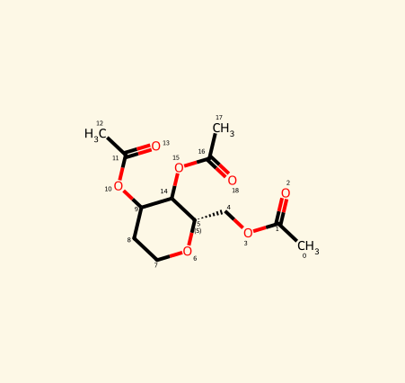 CC(=O)OC[C@@H]1OCCC(OC(C)=O)C1OC(C)=O